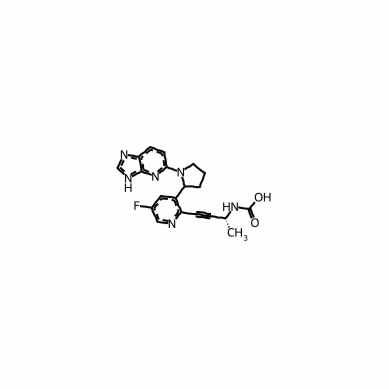 C[C@H](C#Cc1ncc(F)cc1C1CCCN1c1ccc2nc[nH]c2n1)NC(=O)O